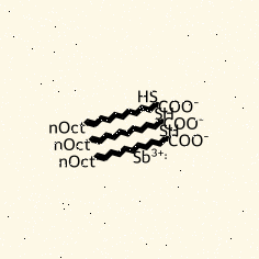 CCCCCCCCC=CCCCCCCCCC(S)C(=O)[O-].CCCCCCCCC=CCCCCCCCCC(S)C(=O)[O-].CCCCCCCCC=CCCCCCCCCC(S)C(=O)[O-].[Sb+3]